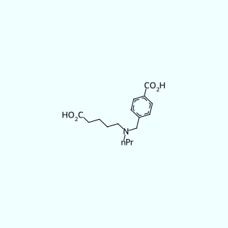 CCCN(CCCCC(=O)O)Cc1ccc(C(=O)O)cc1